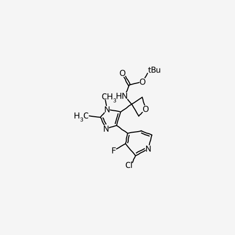 Cc1nc(-c2ccnc(Cl)c2F)c(C2(NC(=O)OC(C)(C)C)COC2)n1C